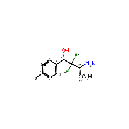 Cc1ccc([C@H](O)C(F)(F)[C@@H](N)C(=O)O)cc1